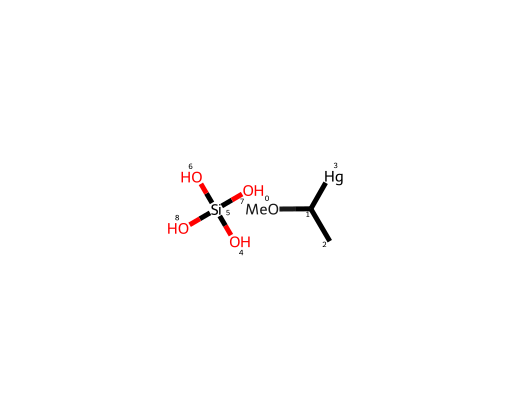 CO[CH](C)[Hg].O[Si](O)(O)O